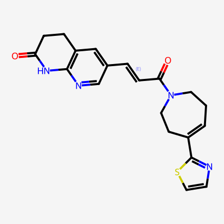 O=C1CCc2cc(/C=C/C(=O)N3CCC=C(c4nccs4)CC3)cnc2N1